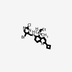 CCC=P(C)(C)c1c(NCc2nc(Cl)ncc2Br)ccc2nc(C3CCC3)ccc12